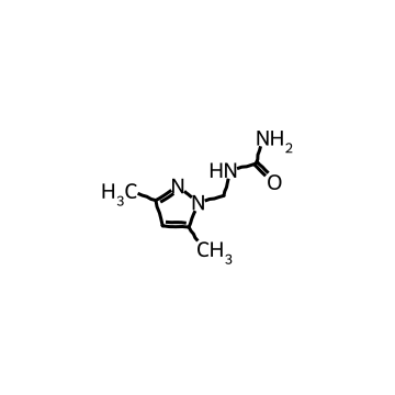 Cc1cc(C)n(CNC(N)=O)n1